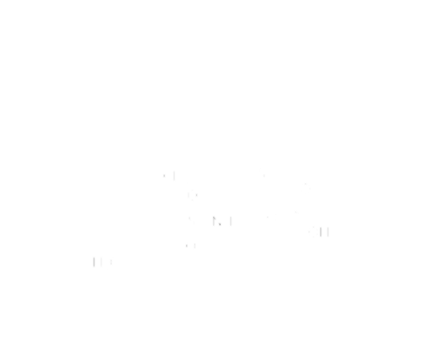 Cc1ccc(C)c(S(=O)(=O)Nc2cc(-c3ccccc3)sc2OC(=O)O)c1